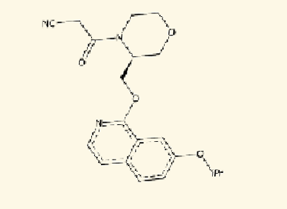 CC(C)Oc1ccc2ccnc(OC[C@@H]3COCCN3C(=O)CC#N)c2c1